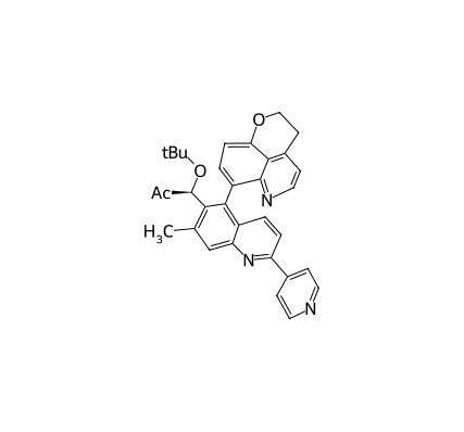 CC(=O)[C@@H](OC(C)(C)C)c1c(C)cc2nc(-c3ccncc3)ccc2c1-c1ccc2c3c(ccnc13)CCO2